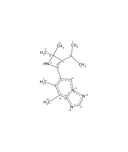 Cc1c(C2=C(C(C)C)C(C)(C)N2)cn2ncnc2c1C